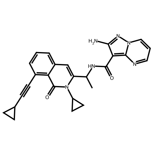 CC(NC(=O)c1c(N)nn2cccnc12)c1cc2cccc(C#CC3CC3)c2c(=O)n1C1CC1